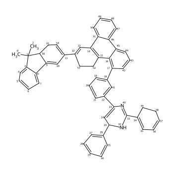 CC1(C)c2ccccc2C2=CC(C3=Cc4c(c5c(-c6cccc(C7=CC(c8ccccc8)NC(C8=CC=CCC8)=N7)c6)cccc5c5ccccc45)CC3)=CCC21